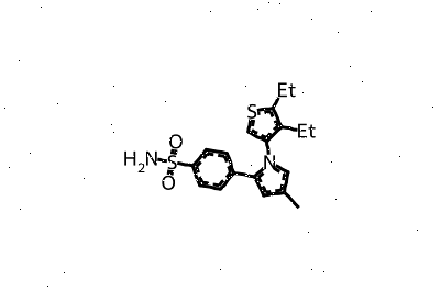 CCc1scc(-n2cc(C)cc2-c2ccc(S(N)(=O)=O)cc2)c1CC